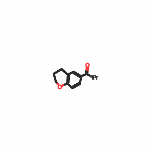 CC(C)C(=O)c1ccc2c(c1)CCCO2